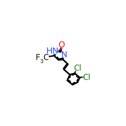 O=c1nc(C=Cc2cccc(Cl)c2Cl)cc(C(F)(F)F)[nH]1